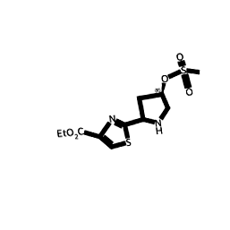 CCOC(=O)c1csc(C2C[C@@H](OS(C)(=O)=O)CN2)n1